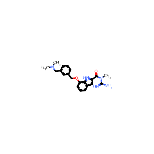 CN(C)Cc1cccc(COc2cccc3cc(C(=O)N(C)C(=N)N)[nH]c23)c1